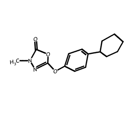 Cn1nc(Oc2ccc(C3CCCCC3)cc2)oc1=O